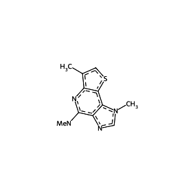 CNc1nc2c(C)csc2c2c1ncn2C